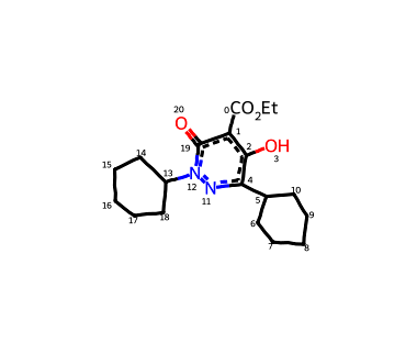 CCOC(=O)c1c(O)c(C2CCCCC2)nn(C2CCCCC2)c1=O